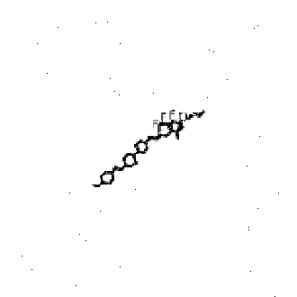 CCCCOc1cc(C)c(CCCCC2CCC(C3CCC(CCC4CCC(CC)CC4)CC3)CC2)c(C(F)(F)F)c1F